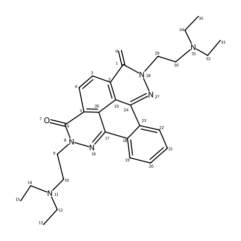 C=C1c2ccc3c(=O)n(CCN(CC)CC)nc4c5ccccc5c(c2c34)=NN1CCN(CC)CC